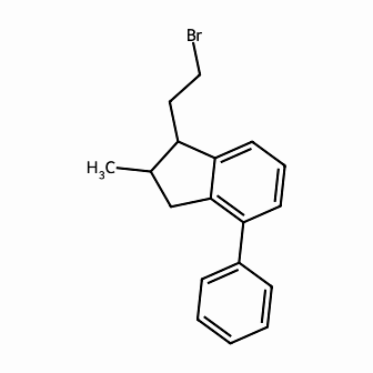 CC1Cc2c(-c3ccccc3)cccc2C1CCBr